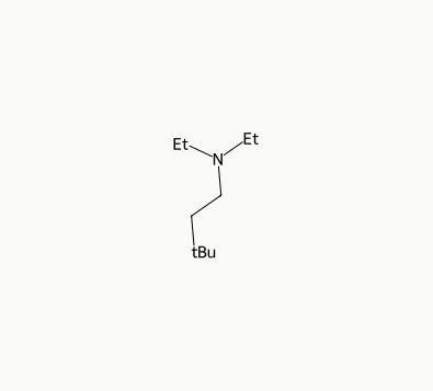 CCN(CC)CCC(C)(C)C